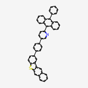 c1ccc(-c2c3ccccc3c(-c3ccc(-c4ccc(-c5ccc6sc7cc8ccccc8cc7c6c5)cc4)cn3)c3ccccc23)cc1